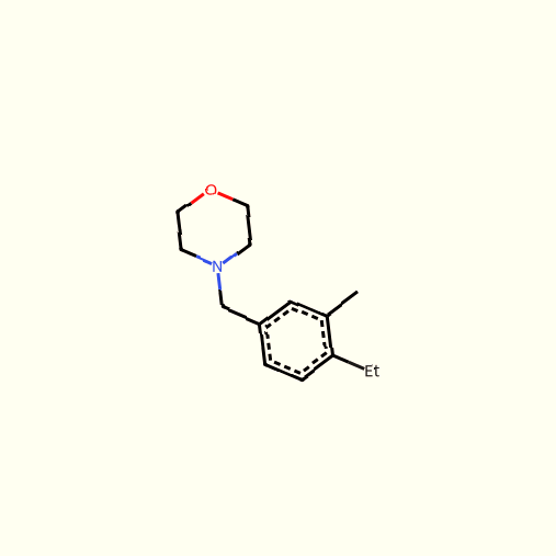 CCc1ccc(CN2CCOCC2)cc1C